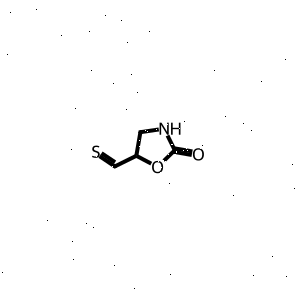 O=C1NCC(C=S)O1